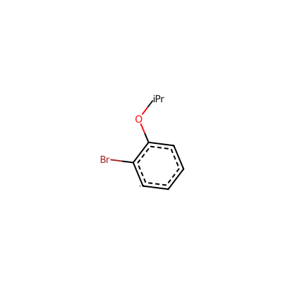 CC(C)Oc1ccc[c]c1Br